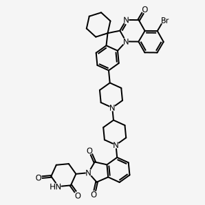 O=C1CCC(N2C(=O)c3cccc(N4CCC(N5CCC(c6ccc7c(c6)-n6c(nc(=O)c8c(Br)cccc86)C76CCCCC6)CC5)CC4)c3C2=O)C(=O)N1